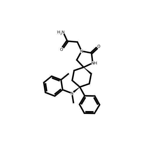 Cc1ccccc1N(C)[C@]1(c2ccccc2)CC[C@@]2(CC1)CN(CC(N)=O)C(=O)N2